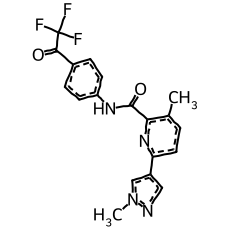 Cc1ccc(-c2cnn(C)c2)nc1C(=O)Nc1ccc(C(=O)C(F)(F)F)cc1